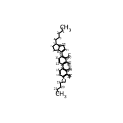 CCCCCC1CCC2C(c3ccc(-c4ccc(OCCCC)c(F)c4F)c(F)c3F)=CCC12